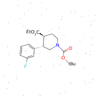 CCOC(=O)[C@H]1CCN(C(=O)OC(C)(C)C)C[C@@H]1c1cccc(F)c1